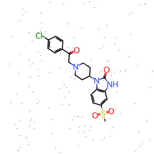 CS(=O)(=O)c1ccc2c(c1)[nH]c(=O)n2C1CCN(CC(=O)c2ccc(Cl)cc2)CC1